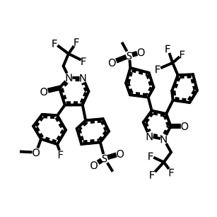 COc1ccc(-c2c(-c3ccc(S(C)(=O)=O)cc3)cnn(CC(F)(F)F)c2=O)cc1F.CS(=O)(=O)c1ccc(-c2cnn(CC(F)(F)F)c(=O)c2-c2cccc(C(F)(F)F)c2)cc1